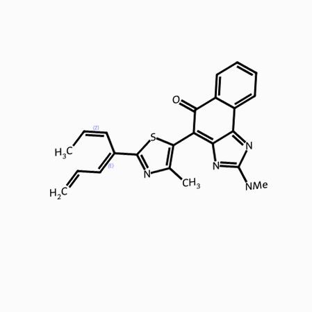 C=C/C=C(\C=C/C)c1nc(C)c(C2=C3N=C(NC)N=C3c3ccccc3C2=O)s1